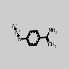 C=C(N)c1ccc(N=[N+]=[N-])cc1